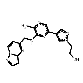 Nc1ncc(-c2cnn(CCO)c2)nc1NCC1=NC2CC=NN2C=C1